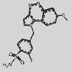 COc1ccc2c(c1)nnc1ccn(Cc3ccc(S(N)(=O)=O)c(F)c3)c12